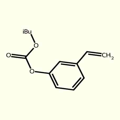 C=Cc1cccc(OC(=O)OC(C)CC)c1